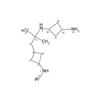 CC(C)NC1CC(CC(C)(C)NC2CC(N)C2)C1